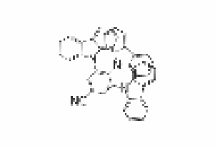 N#Cc1cc(-n2c3ccccc3c3ccccc32)c(-n2c3ccccc3c3ccccc32)c(-n2c3ccccc3c3ccccc32)c1